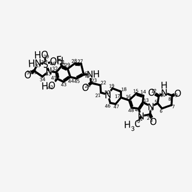 Cn1c(=O)n(C2CCC(=O)NC2=O)c2ccc(C3CCN(CCC(=O)Nc4ccc5c(F)c(N6CC(=O)NS6(O)O)c(O)cc5c4)CC3)cc21